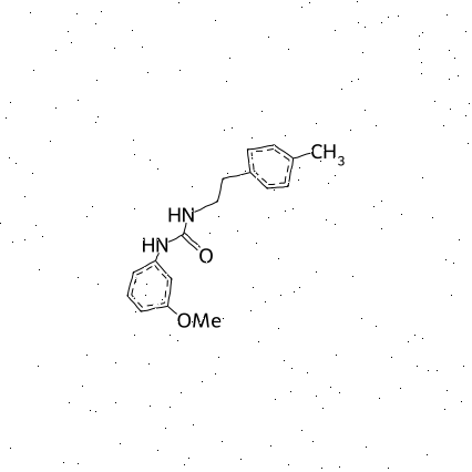 COc1cccc(NC(=O)NCCc2ccc(C)cc2)c1